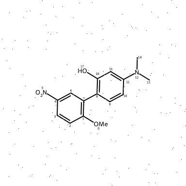 COc1ccc([N+](=O)[O-])cc1-c1ccc(N(C)C)cc1O